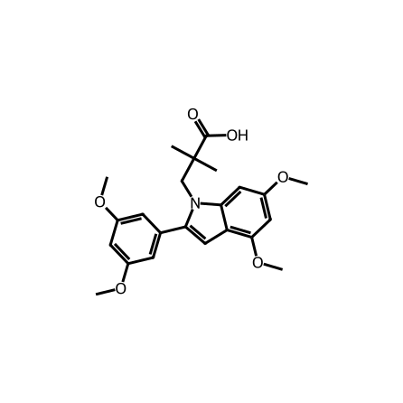 COc1cc(OC)cc(-c2cc3c(OC)cc(OC)cc3n2CC(C)(C)C(=O)O)c1